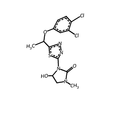 CC(Oc1ccc(Cl)c(Cl)c1)c1nnc(N2C(=O)N(C)CC2O)s1